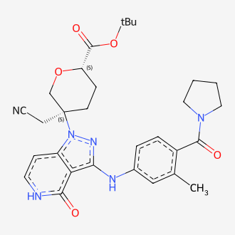 Cc1cc(Nc2nn([C@]3(CC#N)CC[C@@H](C(=O)OC(C)(C)C)OC3)c3cc[nH]c(=O)c23)ccc1C(=O)N1CCCC1